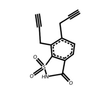 C#CCc1ccc2c(c1CC#C)S(=O)(=O)NC2=O